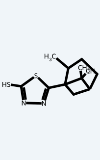 CC1CCC2CC1(c1nnc(S)s1)C2(C)C